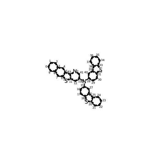 c1ccc2cc3c(cc2c1)sc1cc(N(c2ccc4sc5ccccc5c4c2)c2ccc4sc5ccccc5c4c2)cnc13